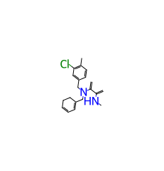 C=C(NC)C(=C)N(CC1=CC=CCC1)Cc1ccc(C)c(Cl)c1